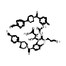 Cc1ccc(C(=O)N2CCC(c3ccc(C#N)cc3)CC2)cc1NC(=O)N[C@H](C(N)=O)C(O)N(C(=O)NCCCO)c1cc(C(=O)N2CCC(c3ccc(C#N)cc3)CC2)ccc1C